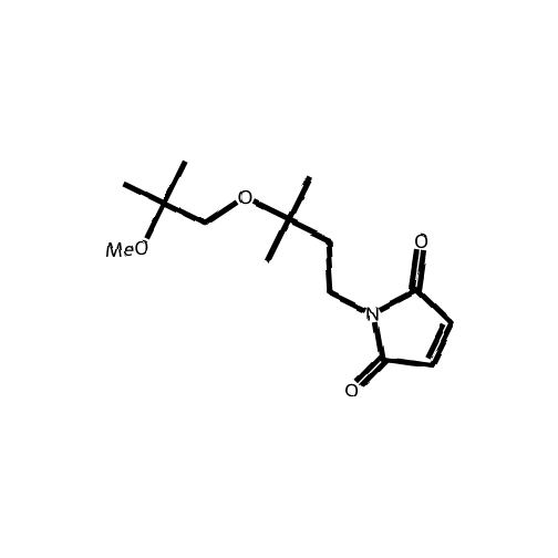 COC(C)(C)COC(C)(C)CCN1C(=O)C=CC1=O